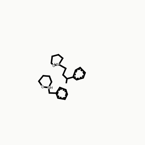 CC(CC[SiH]1CCCCO1)c1ccccc1.c1ccc(C[SiH]2CCCCO2)cc1